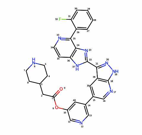 O=C(CC1CCNCC1)Oc1cncc(-c2cnc3[nH]nc(-c4nc5c(-c6ccccc6F)nccc5[nH]4)c3c2)c1